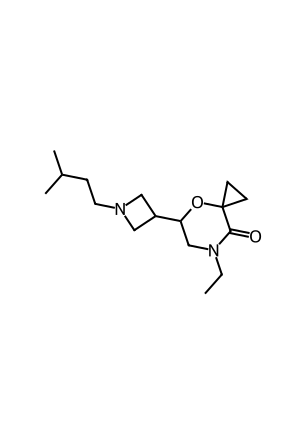 CCN1CC(C2CN(CCC(C)C)C2)OC2(CC2)C1=O